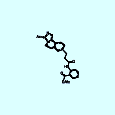 COC(=O)c1ccccc1NC(=O)CCc1ccc2c(ccc3c2cnn3C(C)=O)c1